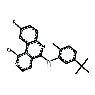 Cc1ccc(C(C)(C)C)cc1Nc1nc2ccc(F)cc2c2c(Cl)nccc12